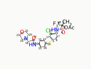 CC(=O)O[C@](C)(C(=O)Nc1ccc(Sc2ccc(NC(=O)CN3CCOCC3)cc2)cc1Cl)C(F)(F)F